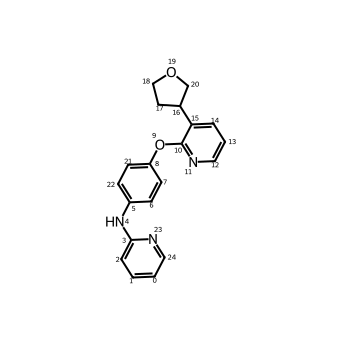 c1ccc(Nc2ccc(Oc3ncccc3C3CCOC3)cc2)nc1